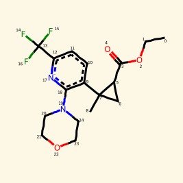 CCOC(=O)C1CC1(C)c1ccc(C(F)(F)F)nc1N1CCOCC1